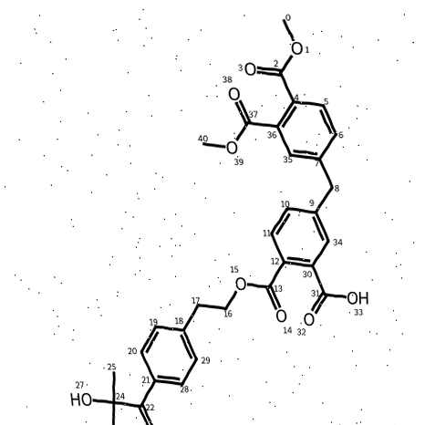 COC(=O)c1ccc(Cc2ccc(C(=O)OCCc3ccc(C(=O)C(C)(C)O)cc3)c(C(=O)O)c2)cc1C(=O)OC